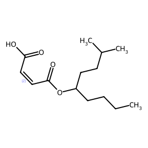 CCCCC(CCC(C)C)OC(=O)/C=C\C(=O)O